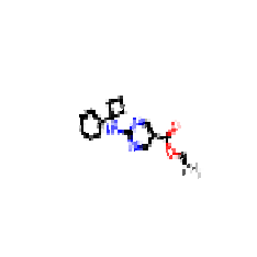 CCOC(=O)c1cnc(NC2(c3ccccc3)CCC2)nc1